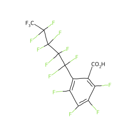 O=C(O)c1c(F)c(F)c(F)c(F)c1C(F)(F)C(F)(F)C(F)(F)C(F)(F)C(F)(F)F